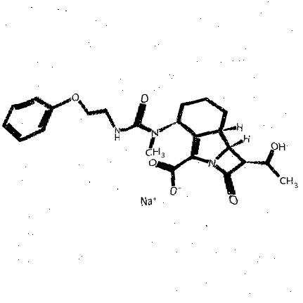 CC(O)[C@H]1C(=O)N2C(C(=O)[O-])=C3[C@H](CCC[C@@H]3N(C)C(=O)NCCOc3ccccc3)[C@H]12.[Na+]